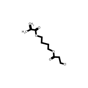 C=C(C)C(=O)OCCCCOC(=O)CCCl